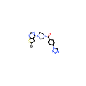 CCc1cc2c(N3CCN(C(=O)c4ccc(-n5cnnn5)cc4)CC3)ncnc2s1